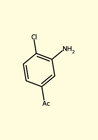 [CH2]C(=O)c1ccc(Cl)c(N)c1